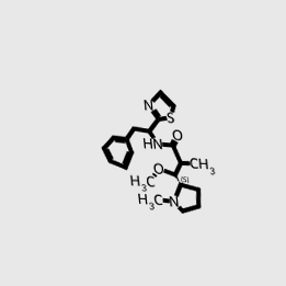 COC(C(C)C(=O)NC(Cc1ccccc1)c1nccs1)[C@@H]1CCCN1C